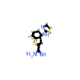 N=C(N)c1cc2c(Nc3nccs3)cccc2s1